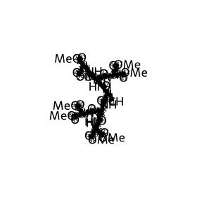 C#CCN(CCC(=O)NCCN(CCC(=O)NCCN(CCC(=O)OC)CCC(=O)OC)CCC(=O)NCCN(CCC(=O)OC)CCC(=O)OC)CCC(=O)NCCN(CCC(=O)NCCN(CCC(=O)OC)CCC(=O)OC)CCC(=O)NCCN(CCC(=O)OC)CCC(=O)OC